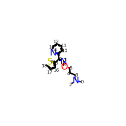 CN(C)CCCON=C(c1ccccn1)c1cccs1